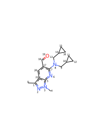 Cc1nn(C)c2nc(N(CC3CC3)CC3CC3)c(C=O)cc12